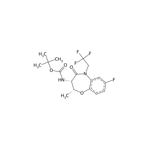 C[C@H]1Oc2ccc(F)cc2N(CC(F)(F)F)C(=O)[C@H]1NC(=O)OC(C)(C)C